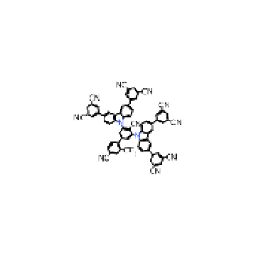 N#Cc1cc(C#N)cc(-c2ccc3c(c2)c2cc(-c4cc(C#N)cc(C#N)c4)ccc2n3-c2cc(-c3ccc(C#N)cc3C(F)(F)F)cc(-n3c4ccc(-c5cc(C#N)cc(C#N)c5)cc4c4cc(-c5cc(C#N)cc(C#N)c5)ccc43)c2C#N)c1